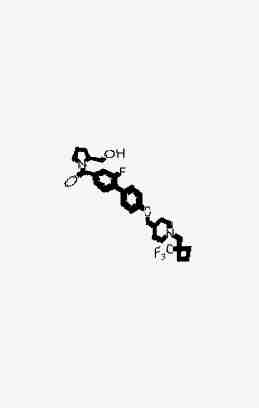 O=C(c1ccc(-c2ccc(OCC3CCN(CC4(C(F)(F)F)CCC4)CC3)cc2)c(F)c1)N1CCCC1CO